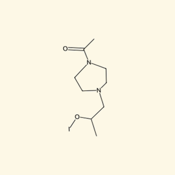 CC(=O)N1CCN(CC(C)OI)CC1